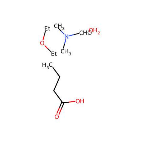 CCCC(=O)O.CCOCC.CN(C)C=O.O